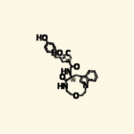 O=C(O)C[C@@H](CCCc1ccc(O)cc1)C(=O)N[C@H]1Cc2cn(c3ccccc23)CCOCCNC1=O